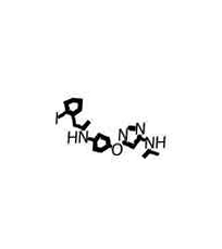 C=C(C)Nc1cc(Oc2ccc(NC(=C)Cc3ccccc3I)cc2)ncn1